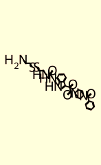 NCCSSCCNC(=O)Nc1cccc2c(C(=O)C(=O)N3CCN(C(=O)c4ccccc4)CC3)c[nH]c12